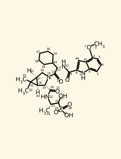 COc1cccc2[nH]c(C(=O)N[C@H](C(=O)N3C[C@H]4[C@@H]([C@H]3C(=O)N[C@@H](C)C(O)S(=O)(=O)O)C4(C)C)C3CCCCC3)cc12